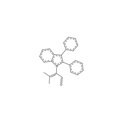 CC(C)=C(C=O)n1c(-c2ccccc2)c(-c2ccccc2)c2ccccc21